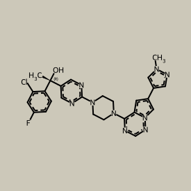 Cn1cc(-c2cc3c(N4CCN(c5ncc([C@@](C)(O)c6ccc(F)cc6Cl)cn5)CC4)ncnn3c2)cn1